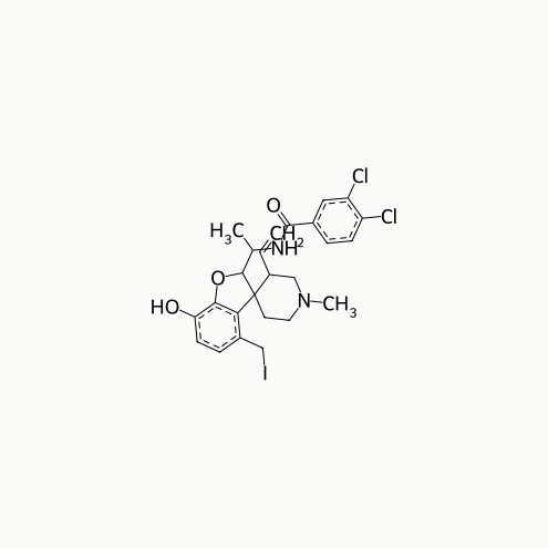 C=CC1CN(C)CCC12c1c(CI)ccc(O)c1OC2C(C)NC(=O)c1ccc(Cl)c(Cl)c1